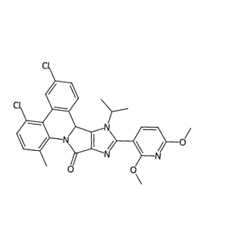 COc1ccc(-c2nc3c(n2C(C)C)C2c4ccc(Cl)cc4-c4c(Cl)ccc(C)c4N2C3=O)c(OC)n1